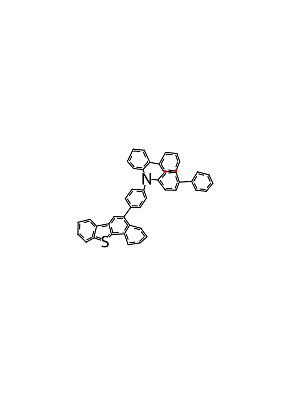 c1ccc(-c2ccc(N(c3ccc(-c4cc5c6ccccc6sc5c5ccccc45)cc3)c3ccccc3-c3ccccc3)cc2)cc1